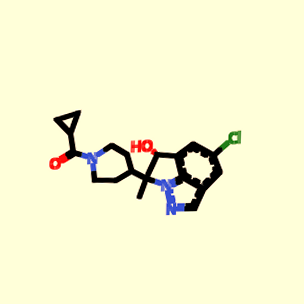 CC1(C2CCN(C(=O)C3CC3)CC2)[C@@H](O)c2cc(Cl)cc3cnn1c23